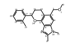 COCc1cc2c(nc(C)n2C)c2c1CCC(c1ccccc1C)O2